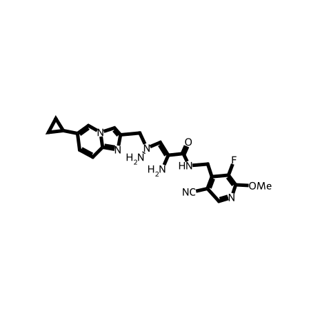 COc1ncc(C#N)c(CNC(=O)/C(N)=C/N(N)Cc2cn3cc(C4CC4)ccc3n2)c1F